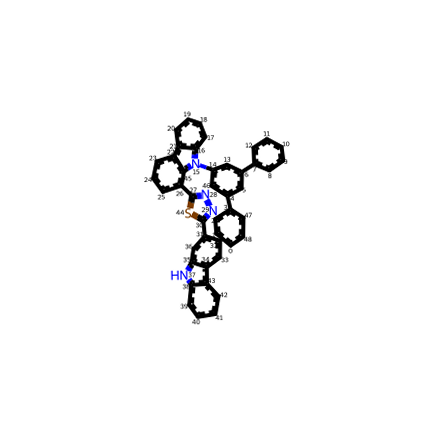 c1ccc(-c2cc(-c3ccccc3)cc(-n3c4ccccc4c4cccc(-c5nnc(-c6ccc7c(c6)[nH]c6ccccc67)s5)c43)c2)cc1